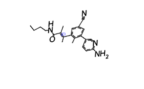 CCCCNC(=O)/C(C)=C(\C)c1cc(C#N)cc(-c2ccc(N)nc2)c1C